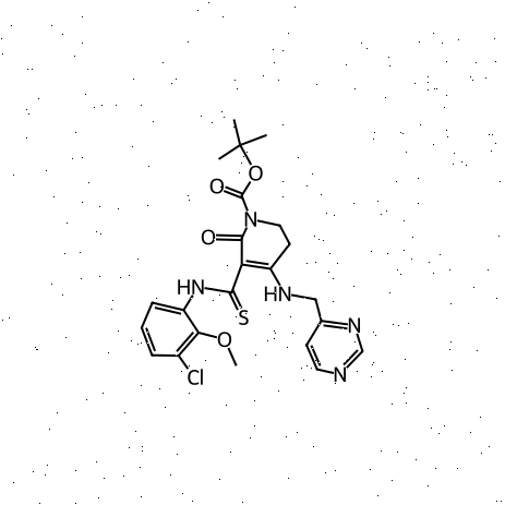 COc1c(Cl)cccc1NC(=S)C1=C(NCc2ccncn2)CCN(C(=O)OC(C)(C)C)C1=O